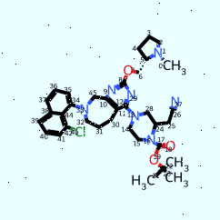 CN1CCC[C@H]1COc1nc2c(c(N3CCN(C(=O)OC(C)(C)C)C(CC#N)C3)n1)CCCN(c1cccc3cccc(Cl)c13)C2